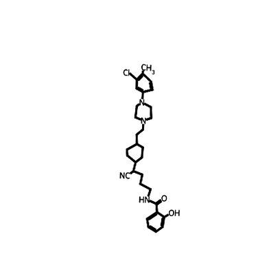 Cc1ccc(N2CCN(CCC3CCC(C(C#N)CCCNC(=O)c4ccccc4O)CC3)CC2)cc1Cl